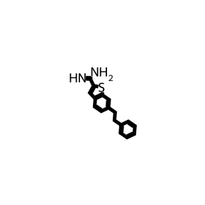 N=C(N)c1cc2ccc(CCc3ccccc3)cc2s1